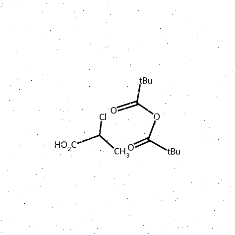 CC(C)(C)C(=O)OC(=O)C(C)(C)C.CC(Cl)C(=O)O